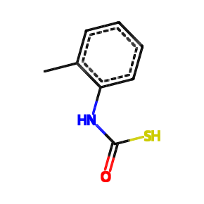 Cc1ccccc1NC(=O)S